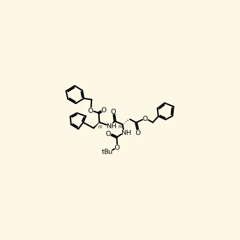 CC(C)(C)OC(=O)N[C@@H](CC(=O)OCc1ccccc1)C(=O)N[C@@H](Cc1ccccc1)C(=O)OCc1ccccc1